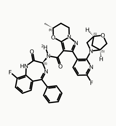 [2H]N(C(=O)c1c(-c2ccc(F)nc2N2C[C@@H]3C[C@H]2CO3)nn2c1O[C@H](C)CC2)[C@H]1N=C(c2ccccc2)c2cccc(F)c2NC1=O